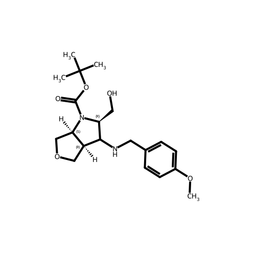 COc1ccc(CNC2[C@H]3COC[C@H]3N(C(=O)OC(C)(C)C)[C@H]2CO)cc1